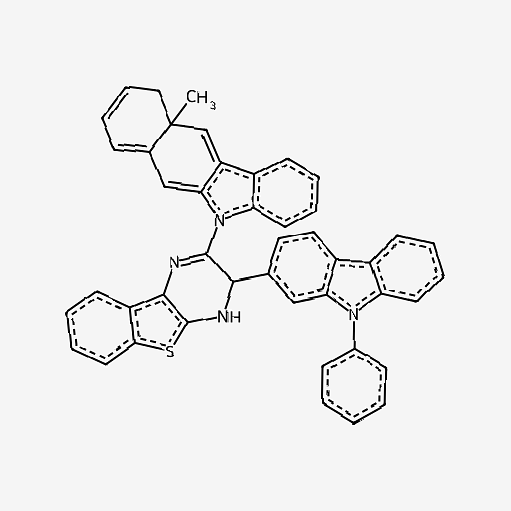 CC12C=c3c(n(C4=Nc5c(sc6ccccc56)NC4c4ccc5c6ccccc6n(-c6ccccc6)c5c4)c4ccccc34)=CC1=CC=CC2